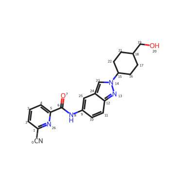 N#Cc1cccc(C(=O)Nc2ccc3nn(C4CCC(CO)CC4)cc3c2)n1